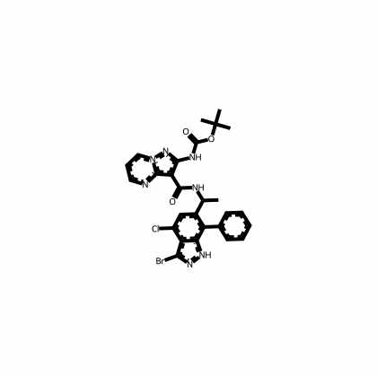 CC(NC(=O)c1c(NC(=O)OC(C)(C)C)nn2cccnc12)c1cc(Cl)c2c(Br)n[nH]c2c1-c1ccccc1